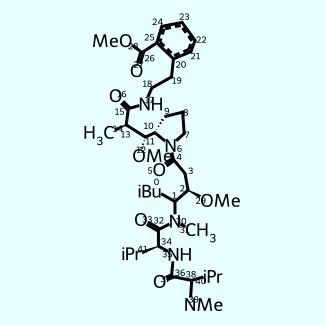 CCC(C)C([C@@H](CC(=O)N1CCC[C@H]1[C@H](OC)[C@@H](C)C(=O)NCCc1ccccc1C(=O)OC)OC)N(C)C(=O)[C@@H](NC(=O)C(NC)C(C)C)C(C)C